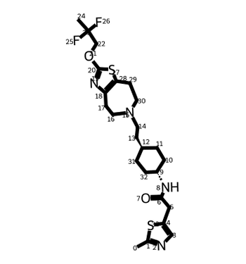 Cc1ncc(CC(=O)N[C@H]2CC[C@H](CCN3CCc4nc(OCC(C)(F)F)sc4CC3)CC2)s1